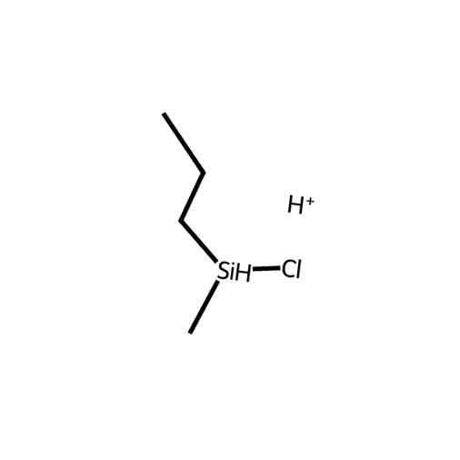 CCC[SiH](C)Cl.[H+]